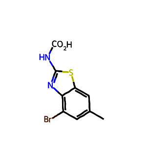 Cc1cc(Br)c2nc(NC(=O)O)sc2c1